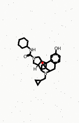 O=C(NC1CCCCC1)N1C[C@H]2CC34CCC1C2C31CCN(CC2CC2)C4Cc2ccc(O)cc21